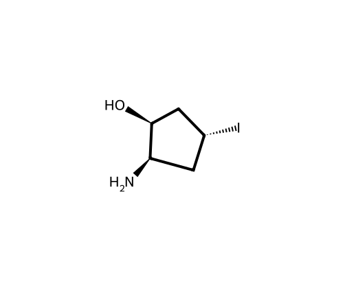 N[C@@H]1C[C@@H](I)C[C@@H]1O